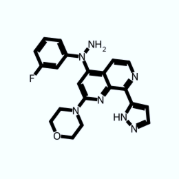 NN(c1cccc(F)c1)c1cc(N2CCOCC2)nc2c(-c3ccn[nH]3)nccc12